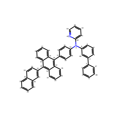 c1ccc(-c2cccc(N(c3ccc(-c4c5ccccc5c(-c5ccc6ccccc6c5)c5ccccc45)cc3)c3ccccn3)c2)cc1